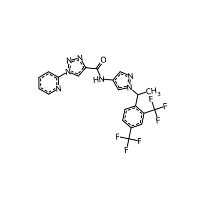 CC(c1ccc(C(F)(F)F)cc1C(F)(F)F)n1cc(NC(=O)c2cn(-c3ccccn3)nn2)cn1